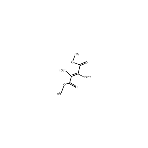 CCCCCCCCC(C(=O)OCCC)=C(CCCCC)C(=O)OCCC